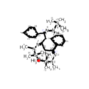 CN(N=C(C/C(=N\N(C)[Si](C)(C)C)c1ccccc1)C/C(=N\N(C)[Si](C)(C)C)c1ccccc1)[Si](C)(C)C